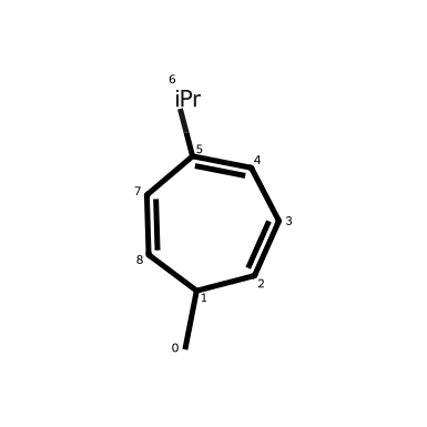 CC1C=CC=C(C(C)C)C=C1